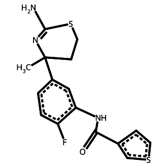 CC1(c2ccc(F)c(NC(=O)c3ccsc3)c2)CCSC(N)=N1